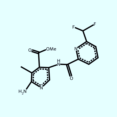 COC(=O)c1c(NC(=O)c2cccc(C(F)F)n2)cnc(N)c1C